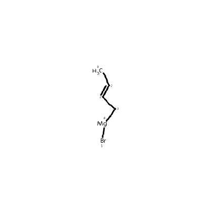 C/C=C/[CH2][Mg][Br]